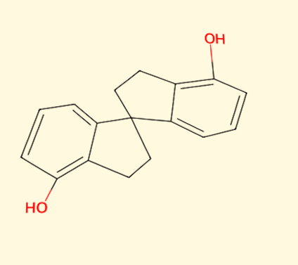 Oc1cccc2c1CCC21CCc2c(O)cccc21